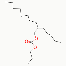 CCCCCCCCC(CCCCC)COC(=O)OCCC